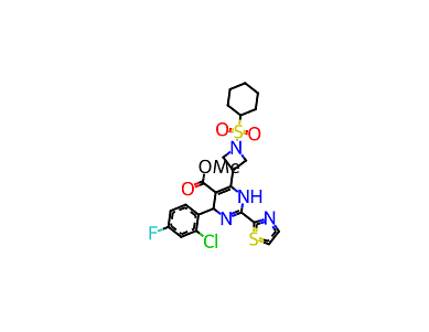 COC(=O)C1=C(C2CN(S(=O)(=O)C3CCCCC3)C2)NC(c2nccs2)=NC1c1ccc(F)cc1Cl